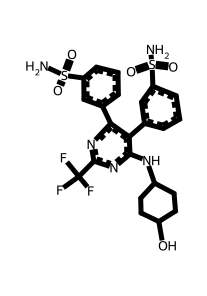 NS(=O)(=O)c1cccc(-c2nc(C(F)(F)F)nc(NC3CCC(O)CC3)c2-c2cccc(S(N)(=O)=O)c2)c1